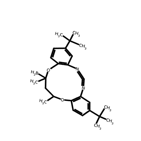 BC1(C)CC(C)Oc2ccc(C(C)(C)C)cc2N=C=Nc2cc(C(C)(C)C)ccc2O1